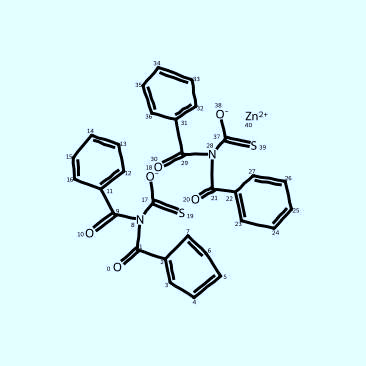 O=C(c1ccccc1)N(C(=O)c1ccccc1)C([O-])=S.O=C(c1ccccc1)N(C(=O)c1ccccc1)C([O-])=S.[Zn+2]